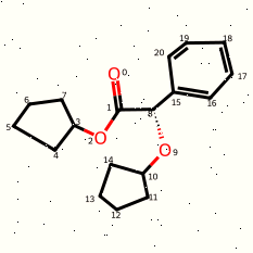 O=C(OC1CCCC1)[C@@H](OC1CCCC1)c1ccccc1